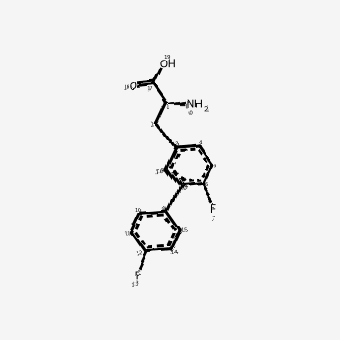 N[C@@H](Cc1ccc(F)c(-c2ccc(F)cc2)c1)C(=O)O